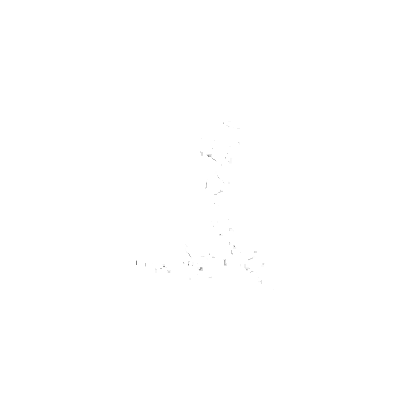 CC1(C)CNCC[C@H]1NC(=N)c1ccc2c(c1)CC[C@H](C(C)(O/N=C(\C(=O)N[C@@H]1C(=O)N(OS(=O)(=O)O)C1(C)C)c1csc(N)n1)C(=O)O)O2